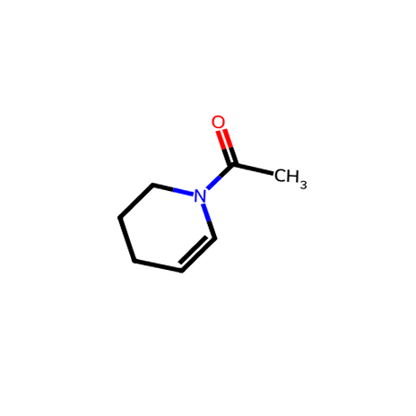 CC(=O)N1C=CCCC1